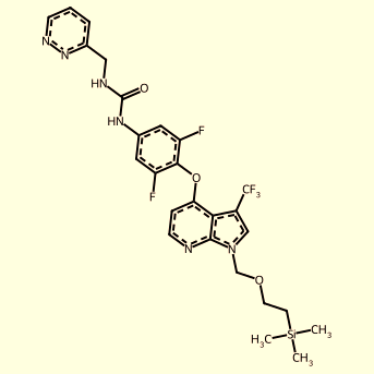 C[Si](C)(C)CCOCn1cc(C(F)(F)F)c2c(Oc3c(F)cc(NC(=O)NCc4cccnn4)cc3F)ccnc21